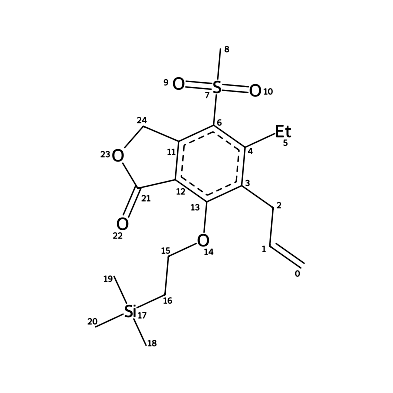 C=CCc1c(CC)c(S(C)(=O)=O)c2c(c1OCC[Si](C)(C)C)C(=O)OC2